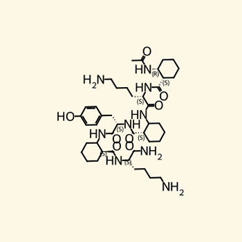 CC(=O)N[C@@H]1CCCC[C@@H]1C(=O)N[C@@H](CCCCN)C(=O)NC1CCCC[C@@H]1C(=O)N[C@@H](Cc1ccc(O)cc1)C(=O)NC1CCCC[C@@H]1C(=O)N[C@@H](CCCCN)C(N)=O